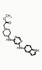 COC(=O)CN1CCC(Nc2cc(Nc3ccc4[nH]ccc4c3)ncn2)CC1